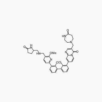 COc1nc(-c2cccc(-c3cccc(-c4ccn5c(=O)c(CN6CCNC(=O)CC6)cnc5c4)c3Cl)c2Cl)ccc1CNCC1CCC(=O)N1